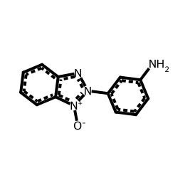 Nc1cccc(-n2nc3ccccc3[n+]2[O-])c1